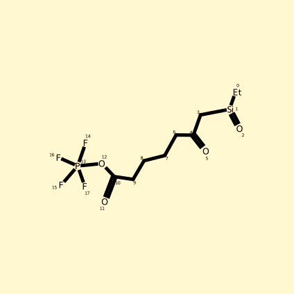 CC[Si](=O)CC(=O)CCCCC(=O)OP(F)(F)(F)F